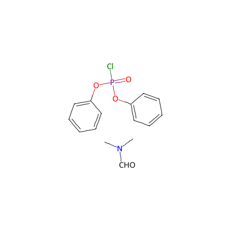 CN(C)C=O.O=P(Cl)(Oc1ccccc1)Oc1ccccc1